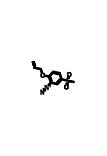 C=CCOc1ccc(S(C)(=O)=O)cc1[N+]#N